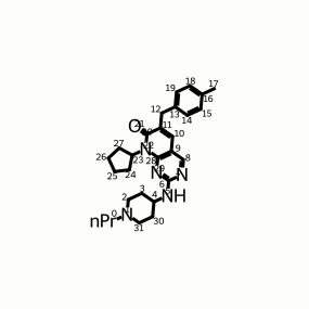 CCCN1CCC(Nc2ncc3cc(Cc4ccc(C)cc4)c(=O)n(C4CCCC4)c3n2)CC1